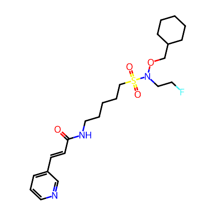 O=C(/C=C/c1cccnc1)NCCCCCS(=O)(=O)N(CCF)OCC1CCCCC1